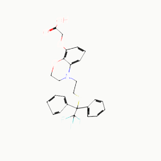 O=C(O)COc1cccc2c1OCCN2CCSC(c1ccccc1)(c1ccccc1)C(F)(F)F